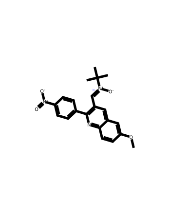 COc1ccc2nc(-c3ccc([N+](=O)[O-])cc3)c(/C=[N+](\[O-])C(C)(C)C)cc2c1